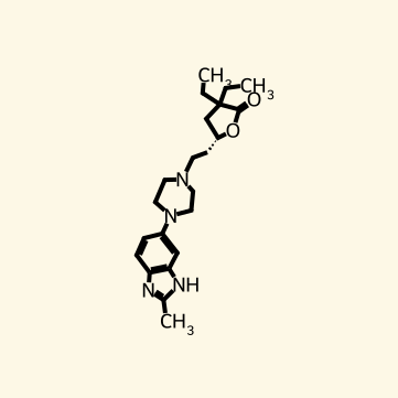 CCC1(CC)C[C@@H](CCN2CCN(c3ccc4nc(C)[nH]c4c3)CC2)OC1=O